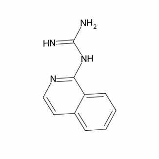 N=C(N)Nc1nccc2ccccc12